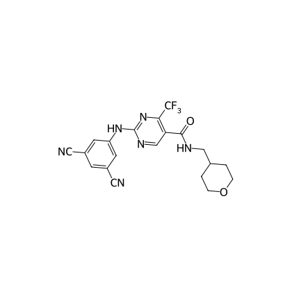 N#Cc1cc(C#N)cc(Nc2ncc(C(=O)NCC3CCOCC3)c(C(F)(F)F)n2)c1